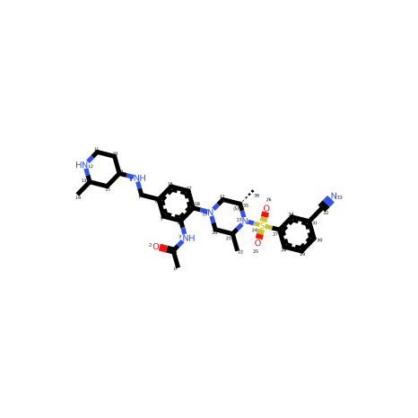 CC(=O)Nc1cc(CNC2CCNC(C)C2)ccc1N1CC(C)N(S(=O)(=O)c2cccc(C#N)c2)[C@@H](C)C1